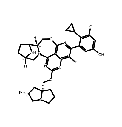 Oc1cc(Cl)c(C2CC2)c(-c2nc3c4c(nc(OC[C@]56CCCN5C[C@H](F)C6)nc4c2F)N2C[C@@H]4CCC(N4)[C@@H]2CO3)c1